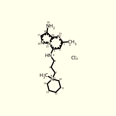 Cc1cc(NCCC[N+]2(C)CCCCC2)n2ncc(N)c2n1.[Cl-]